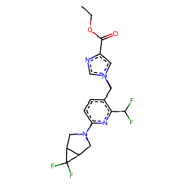 CCOC(=O)c1cn(Cc2ccc(N3CC4C(C3)C4(F)F)nc2C(F)F)cn1